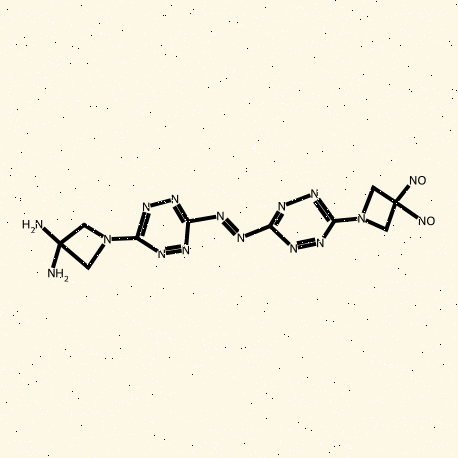 NC1(N)CN(c2nnc(N=Nc3nnc(N4CC(N=O)(N=O)C4)nn3)nn2)C1